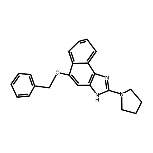 c1ccc(COc2cc3[nH]c(N4CCCC4)nc3c3ccccc23)cc1